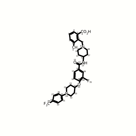 Cc1cccc(C(=O)O)c1CN1CCC(NC(=O)c2ccc(OC3CCN(c4ccc(C(F)(F)F)cc4)CC3)c(F)c2)CC1